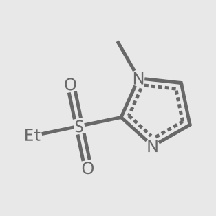 CCS(=O)(=O)c1nccn1C